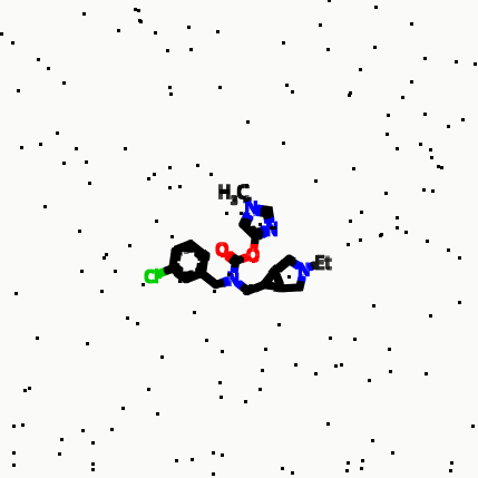 CCN1CC2C(C1)C2CN(Cc1cccc(Cl)c1)C(=O)Oc1cn(C)cn1